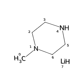 CN1CCNCC1.[LiH]